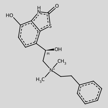 C[N+](C)(CCc1ccccc1)C[C@H](O)c1ccc(O)c2[nH]c(=O)sc12